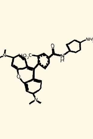 CN(C)C1C=CC2=C(c3ccc(C(=O)NC4CCC(N)CC4)cc3C(=O)O)C3=CCC(N(C)C)C=C3OC2=C1